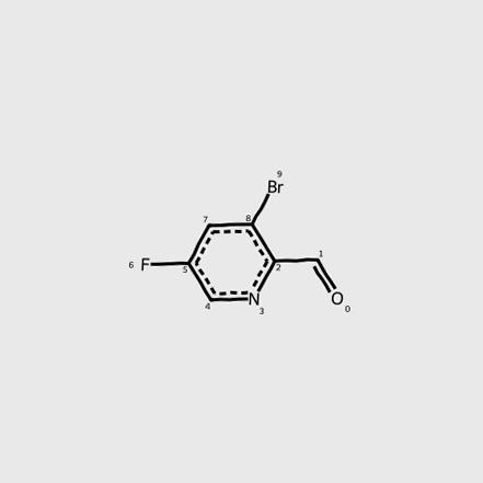 O=Cc1ncc(F)cc1Br